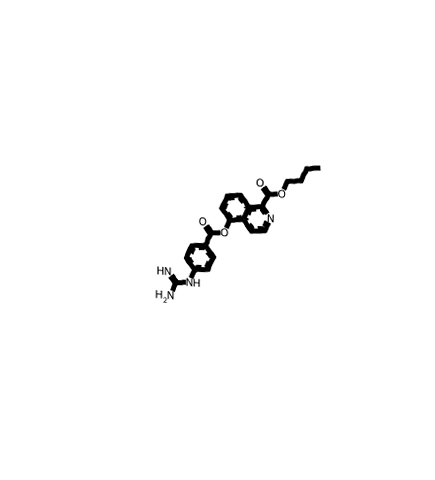 CCCCOC(=O)c1nccc2c(OC(=O)c3ccc(NC(=N)N)cc3)cccc12